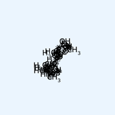 COc1cc([C@@H](CC(=O)O)c2ccc(C)c(CN3C[C@@H](C)Oc4cc(C5CCCC(C(=O)N[C@@H](C(=O)N6C[C@@H](O)C[C@@H]6C(=O)N[C@H](C)c6ccc(-c7scnc7C)cc6)C(C)(C)C)CC5)ccc4S3(=O)=O)c2)cc2nnn(C)c12